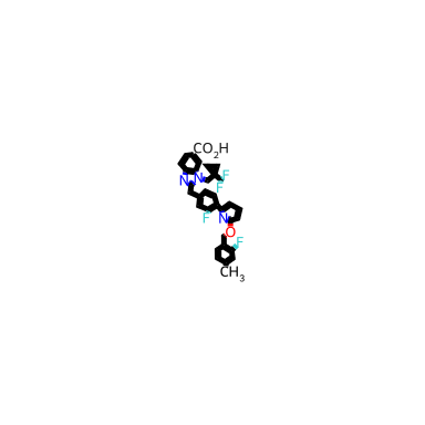 Cc1ccc(COc2cccc(-c3ccc(Cc4nc5ccc(C(=O)O)cc5n4CC4(C(F)F)CC4)cc3F)n2)c(F)c1